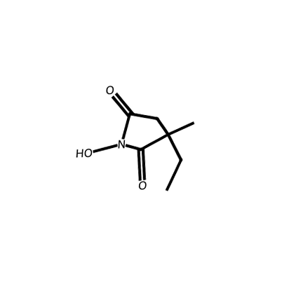 CCC1(C)CC(=O)N(O)C1=O